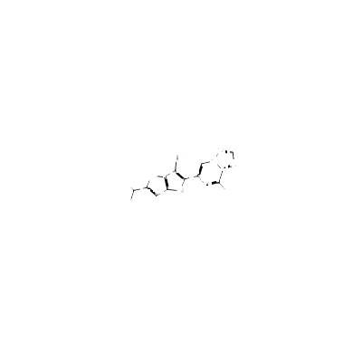 Cc1cc(-c2[nH]c3cc(C(O)O)sc3c2C(C)C)cn2ncnc12